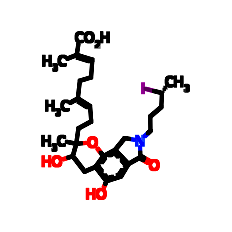 C/C(=C\CCC1(C)Oc2c(c(O)cc3c2CN(CCC[C@@H](C)I)C3=O)CC1O)CC/C=C(\C)C(=O)O